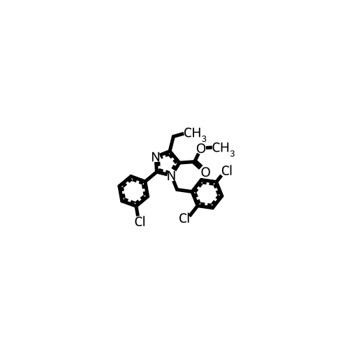 CCc1nc(-c2cccc(Cl)c2)n(Cc2cc(Cl)ccc2Cl)c1C(=O)OC